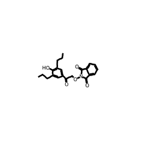 CCCc1cc(C(=O)CON2C(=O)c3ccccc3C2=O)cc(CCC)c1O